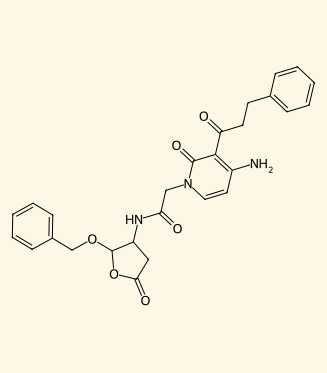 Nc1ccn(CC(=O)NC2CC(=O)OC2OCc2ccccc2)c(=O)c1C(=O)CCc1ccccc1